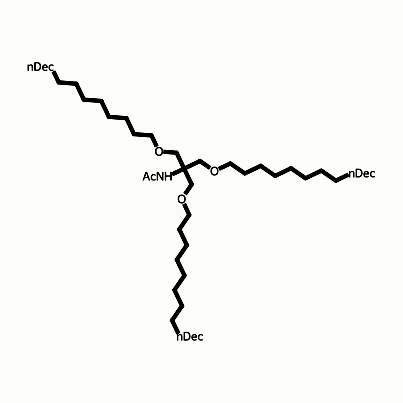 CCCCCCCCCCCCCCCCCCOCC(COCCCCCCCCCCCCCCCCCC)(COCCCCCCCCCCCCCCCCCC)NC(C)=O